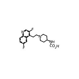 O=C(O)NC1CCN(CCc2c(F)cnc3ccc(F)cc23)CC1